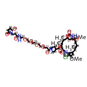 COc1cc2cc(c1Cl)N(C)C(=O)C[C@H](OC(=O)C1CCN(C(=O)CCOCCOCCOCCOCCNC(=O)CCN3C(=O)C=CC3=O)CC1)C(C)C[C@H](C)C1C[C@@](O)(NC(=O)O1)C(OC)/C=C/C=C(\C)C2